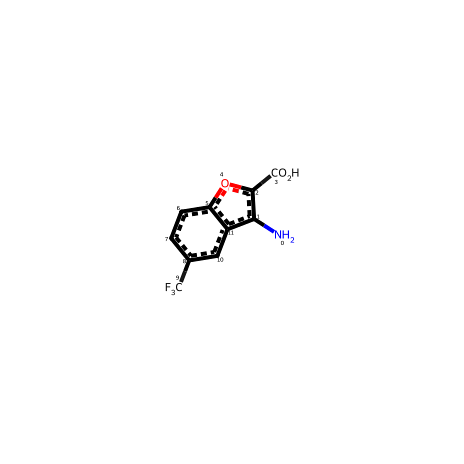 Nc1c(C(=O)O)oc2ccc(C(F)(F)F)cc12